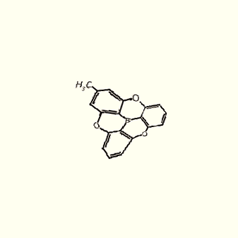 Cc1cc2c3c(c1)Oc1cccc4c1B3c1c(cccc1O2)O4